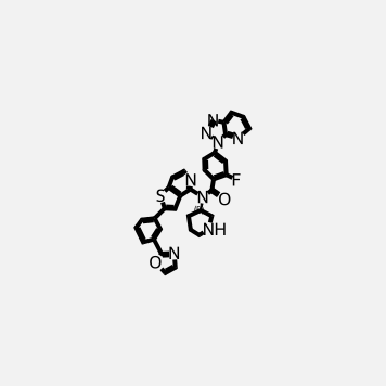 O=C(c1ccc(-n2nnc3cccnc32)cc1F)N(c1nccc2sc(-c3cccc(-c4ncco4)c3)cc12)[C@@H]1CCCNC1